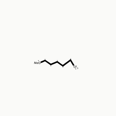 COCCCCCC(F)(F)F